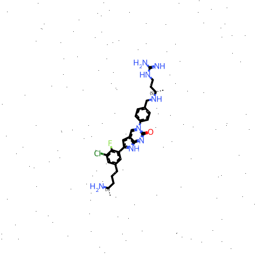 C[C@H](N)CCCc1cc(Cl)c(F)c(-c2cc3cn(-c4ccc(CN[C@@H](C)CCNC(=N)N)cc4)c(=O)nc3[nH]2)c1